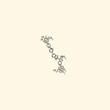 CC(C)(C)OC(=O)N1CCN(c2ccc(-c3ccc4nc(-c5c(N)sc6c5CCN(C(=O)OC(C)(C)C)C6)sc4c3)cn2)CC1